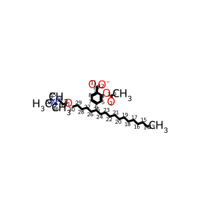 CC(=O)Oc1ccccc1C(=O)[O-].CCCCCCCCCCCCCCCCCCOCC[N+](C)(C)C